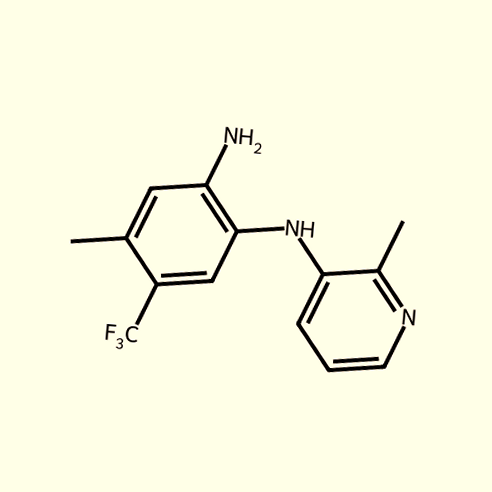 Cc1cc(N)c(Nc2cccnc2C)cc1C(F)(F)F